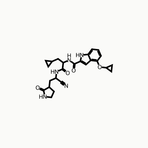 N#CC(CC1CCNC1=O)NC(=O)C(CC1CC1)NC(=O)c1cc2c(OC3CC3)cccc2[nH]1